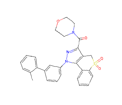 Cc1ccccc1-c1cccc(-n2nc(C(=O)N3CCOCC3)c3c2-c2ccccc2S(=O)(=O)C3)c1